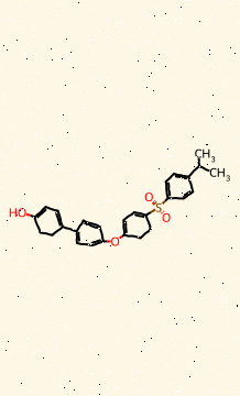 CC(C)c1ccc(S(=O)(=O)C2=CC=C(Oc3ccc(C4=CC=C(O)CC4)cc3)CC2)cc1